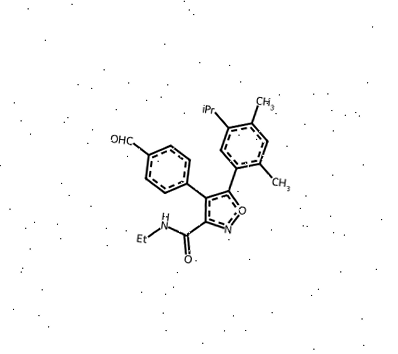 CCNC(=O)c1noc(-c2cc(C(C)C)c(C)cc2C)c1-c1ccc(C=O)cc1